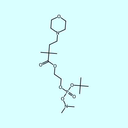 CN(C)OP(=O)(OCCOC(=O)C(C)(C)CCN1CCOCC1)OC(C)(C)C